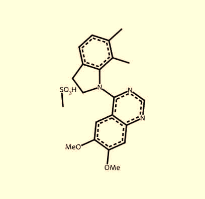 COc1cc2ncnc(N3CCc4ccc(C)c(C)c43)c2cc1OC.CS(=O)(=O)O